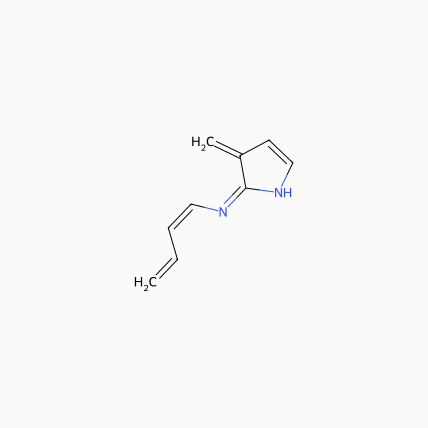 C=C/C=C\N=C1\NC=CC1=C